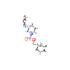 O=C(OCc1ccccc1)N1CCC[C@@H](N=C=S)C1